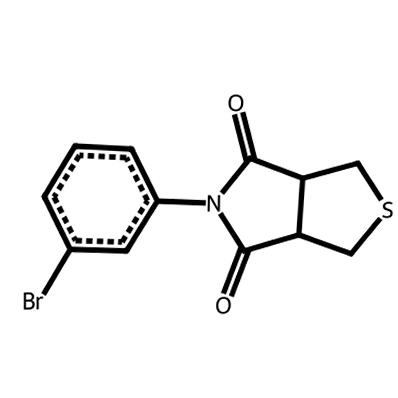 O=C1C2CSCC2C(=O)N1c1cccc(Br)c1